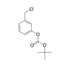 CC(C)(C)OC(=O)Oc1cccc(CCl)c1